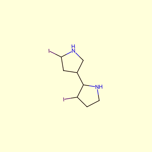 IC1CC(C2NCCC2I)CN1